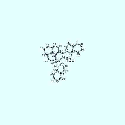 CCCCc1c(-c2ccc3ccccc3c2)c2ccc3cccc4ccc(c1-c1ccc5ccccc5c1)c2c34